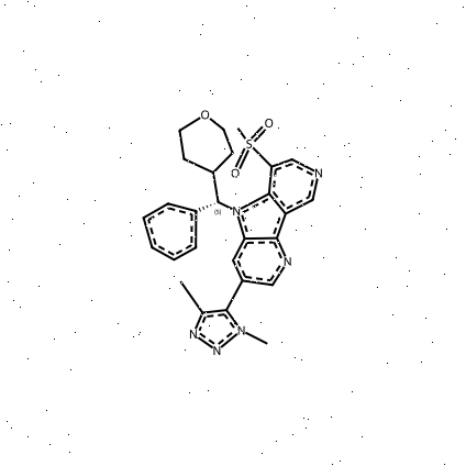 Cc1nnn(C)c1-c1cnc2c3cncc(S(C)(=O)=O)c3n([C@H](c3ccccc3)C3CCOCC3)c2c1